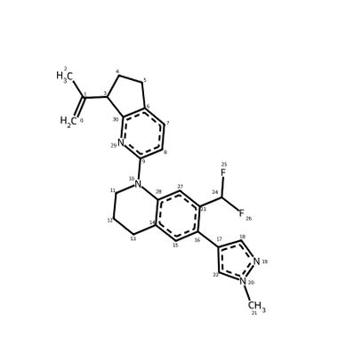 C=C(C)C1CCc2ccc(N3CCCc4cc(-c5cnn(C)c5)c(C(F)F)cc43)nc21